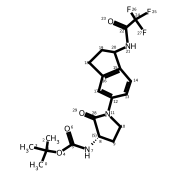 CC(C)(C)OC(=O)N[C@H]1CCN(c2ccc3c(c2)CCC3NC(=O)C(F)(F)F)C1=O